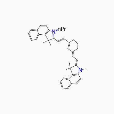 CCC[N+]1=C(/C=C/C2=CC(=C/C=C3/N(C)c4ccc5ccccc5c4C3(C)C)/CCC2)C(C)(C)c2c1ccc1ccccc21